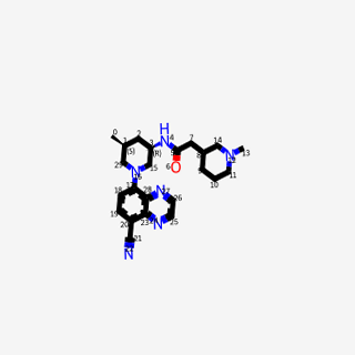 C[C@H]1C[C@@H](NC(=O)CC2CCCN(C)C2)CN(c2ccc(C#N)c3nccnc23)C1